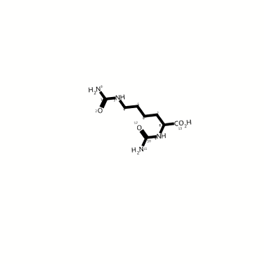 NC(=O)NCCCCC(NC(N)=O)C(=O)O